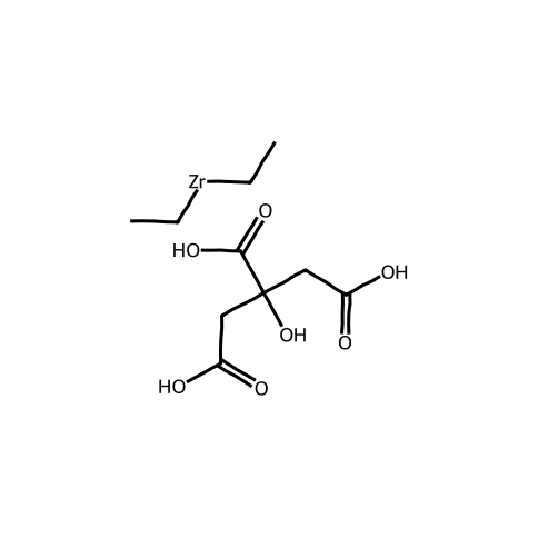 C[CH2][Zr][CH2]C.O=C(O)CC(O)(CC(=O)O)C(=O)O